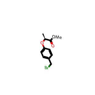 COC(=O)[C@H](C)Oc1ccc(CBr)cc1